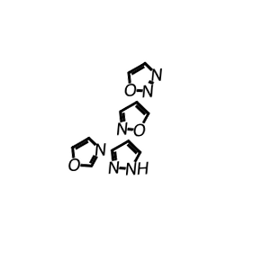 c1cn[nH]c1.c1cnoc1.c1cocn1.c1conn1